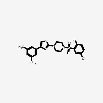 Cc1cc(C)cc(-c2csc(N3CCN(S(=O)(=O)c4cc(Cl)ccc4Cl)CC3)n2)c1